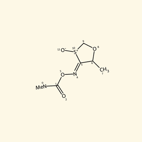 CNC(=O)ON=C1C(C)OC[S+]1[O-]